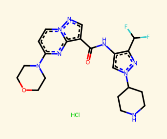 Cl.O=C(Nc1cn(C2CCNCC2)nc1C(F)F)c1cnn2ccc(N3CCOCC3)nc12